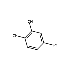 CC(C)c1ccc(Cl)c(C#N)c1